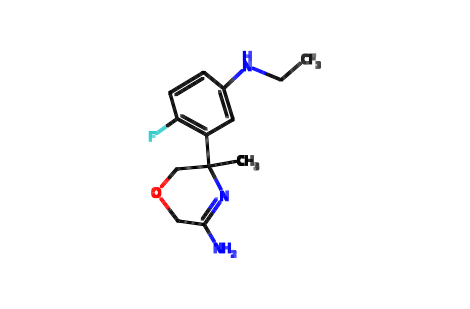 CC1(c2cc(NCC(F)(F)F)ccc2F)COCC(N)=N1